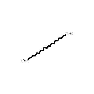 CCCCCCCCCCCCCCCCCCCC=CCCCCCCCCCCCCCCCCCCC